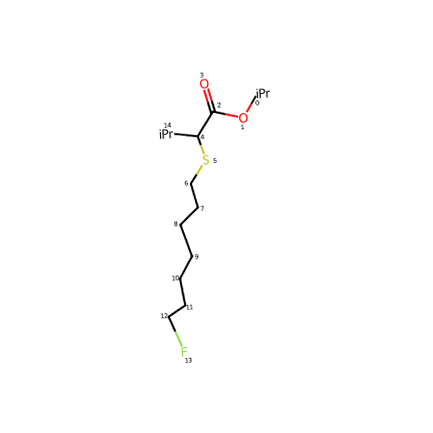 CC(C)OC(=O)C(SCCCCCCCF)C(C)C